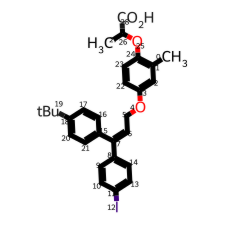 Cc1cc(OCC=C(c2ccc(I)cc2)c2ccc(C(C)(C)C)cc2)ccc1OC(C)C(=O)O